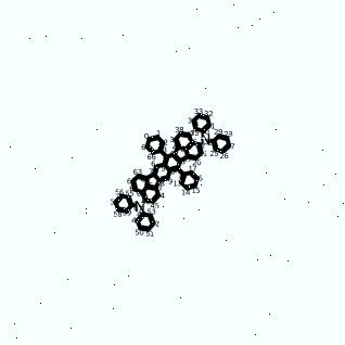 c1ccc(-c2c3cc4c(cc3c(-c3ccccc3)c3c5ccc(N(c6ccccc6)c6ccccc6)c6cccc(c23)c65)c2ccc(N(c3ccccc3)c3ccccc3)c3cccc4c32)cc1